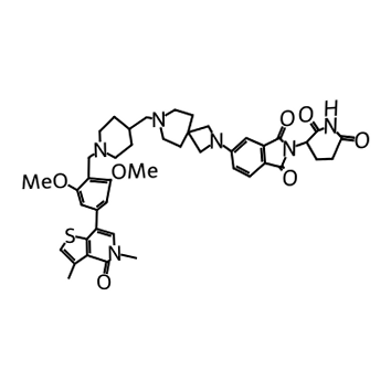 COc1cc(-c2cn(C)c(=O)c3c(C)csc23)cc(OC)c1CN1CCC(CN2CCC3(CC2)CN(c2ccc4c(c2)C(=O)N(C2CCC(=O)NC2=O)C4=O)C3)CC1